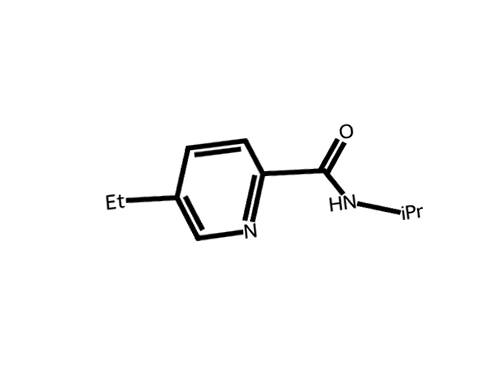 CCc1ccc(C(=O)NC(C)C)nc1